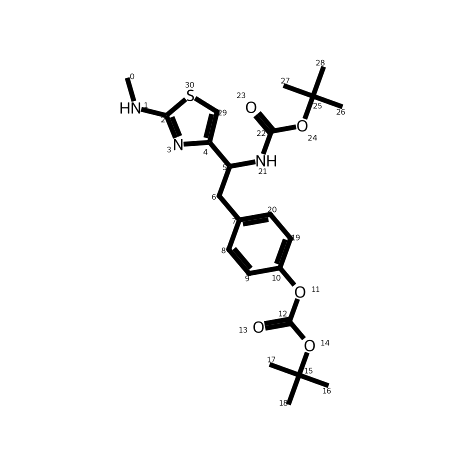 CNc1nc(C(Cc2ccc(OC(=O)OC(C)(C)C)cc2)NC(=O)OC(C)(C)C)cs1